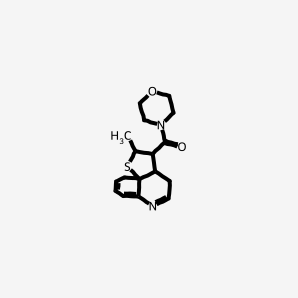 CC1SC23CC=CC=C2N=CCC3C1C(=O)N1CCOCC1